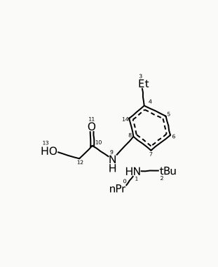 CCCNC(C)(C)C.CCc1cccc(NC(=O)CO)c1